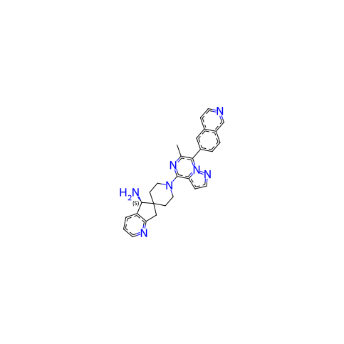 Cc1nc(N2CCC3(CC2)Cc2ncccc2[C@H]3N)c2ccnn2c1-c1ccc2cnccc2c1